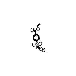 CCOC(=O)c1ccc(S(=O)(=O)N=C=O)cc1